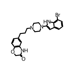 O=C1COc2ccc(CCCN3CCN(c4cc5cccc(Br)c5[nH]4)CC3)cc2N1